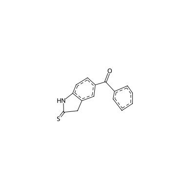 O=C(c1ccccc1)c1ccc2c(c1)CC(=S)N2